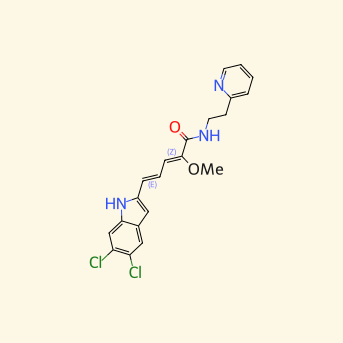 CO/C(=C\C=C\c1cc2cc(Cl)c(Cl)cc2[nH]1)C(=O)NCCc1ccccn1